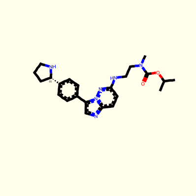 CC(C)OC(=O)N(C)CCNc1ccc2ncc(-c3ccc([C@@H]4CCCN4)cc3)n2n1